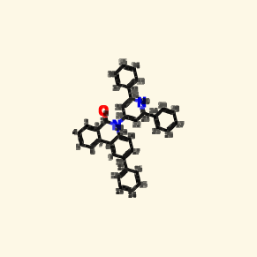 O=c1c2ccccc2c2cc(-c3ccccc3)ccc2n1-c1cc(-c2ccccc2)nc(-c2ccccc2)c1